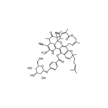 COC(=O)/C(C)=C\CC1(O)C(=O)C(C)C2C(C#N)=C(N)NC3=C2C1(C(C)C(C)C)Oc1c(CC=C(C)C)c2c(c(OC(=O)c4ccc(O[C@@H]5O[C@H](CO)[C@@H](O)[C@H](O)[C@H]5O)cc4)c13)C=CC(C)(CCC=C(C)C)O2